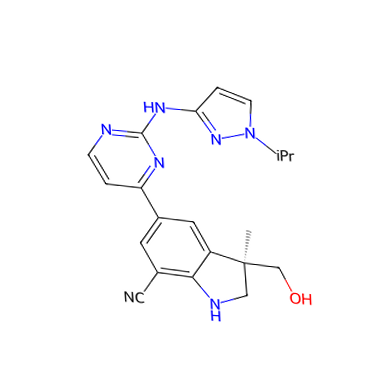 CC(C)n1ccc(Nc2nccc(-c3cc(C#N)c4c(c3)[C@@](C)(CO)CN4)n2)n1